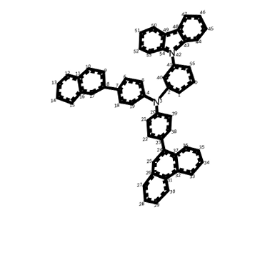 c1cc(N(c2ccc(-c3ccc4ccccc4c3)cc2)c2ccc(-c3cc4ccccc4c4ccccc34)cc2)cc(-n2c3ccccc3c3ccccc32)c1